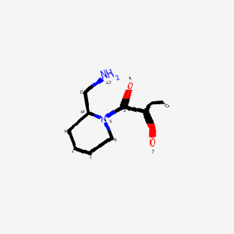 CC(=O)C(=O)N1CCCCC1CN